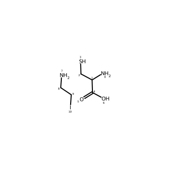 NC(CS)C(=O)O.NCCI